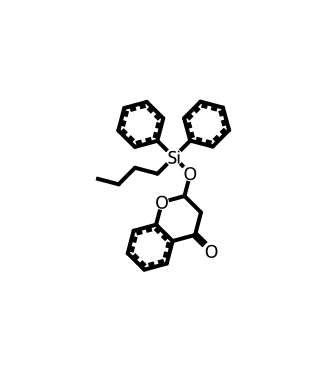 CCCC[Si](OC1CC(=O)c2ccccc2O1)(c1ccccc1)c1ccccc1